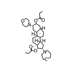 CCC(=O)O[C@H]1C[C@@H]2CC[C@@H]3[C@H](CC[C@@]4(C)[C@H]3C[C@H](N3CCCCCC3)[C@@H]4OC(=O)CC)[C@@]2(C)C[C@@H]1N1CCOCC1